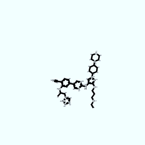 CCOCCCOc1nn(C2CCC(N3CCOCC3)CC2)cc1Nc1ncc(-c2ccc(C#N)c(OC(C)Cn3cnnn3)c2)cn1